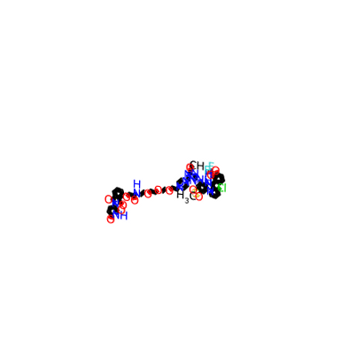 COc1nc(Nc2cc(S(C)(=O)=O)ccc2N[C@@H](c2cccc3c2OC(F)(F)O3)c2ncccc2Cl)nc(N2CCN(CCOCCOCCOCCNC(=O)COc3cccc4c3C(=O)N(C3CCC(=O)NC3=O)C4=O)CC2)n1